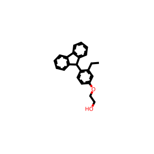 CCc1cc(OCCO)ccc1C1c2ccccc2-c2ccccc21